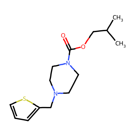 CC(C)COC(=O)N1CCN(Cc2cccs2)CC1